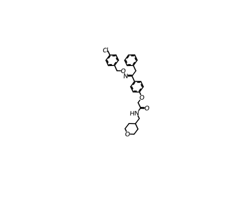 O=C(COc1ccc(C(Cc2ccccc2)=NOCc2ccc(Cl)cc2)cc1)NCC1CCOCC1